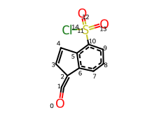 O=C=C1C=Cc2c1cccc2S(=O)(=O)Cl